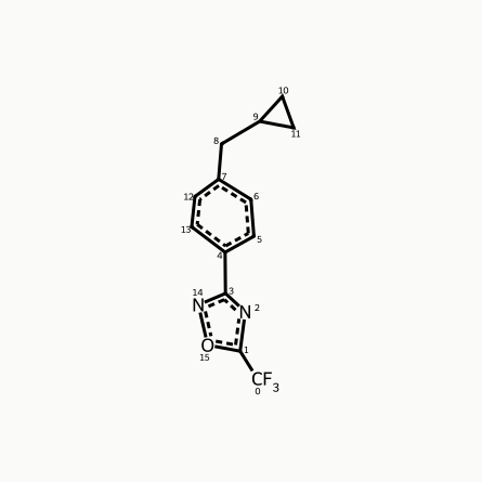 FC(F)(F)c1nc(-c2ccc(CC3CC3)cc2)no1